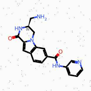 NC[C@H]1Cn2c(cc3ccc(C(=O)Nc4cccnc4)cc32)C(=O)N1